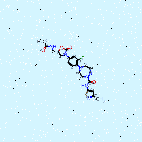 CC(=O)NC[C@H]1CN(c2ccc(N3CCNN(C(=O)Nc4cc(C)ns4)CC3)c(F)c2)C(=O)O1